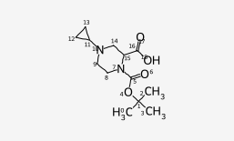 CC(C)(C)OC(=O)N1CCN(C2CC2)CC1C(=O)O